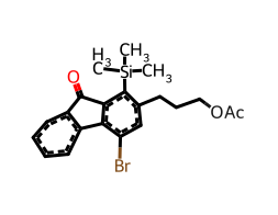 CC(=O)OCCCc1cc(Br)c2c(c1[Si](C)(C)C)C(=O)c1ccccc1-2